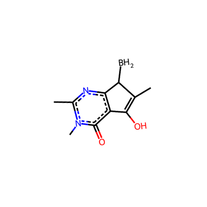 BC1C(C)=C(O)c2c1nc(C)n(C)c2=O